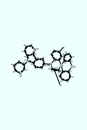 Cc1ccc2c(c1)[Si]1(c3ccccc3Oc3ccccc31)c1cc(C)ccc1N2c1ccc2c(c1)c1ncccc1n2-c1cccnc1